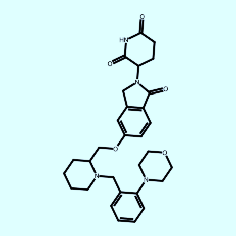 O=C1CCC(N2Cc3cc(OCC4CCCCN4Cc4ccccc4N4CCOCC4)ccc3C2=O)C(=O)N1